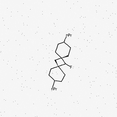 CCCC1CC[C@]2(CC1)C[C@@]1(CCC(CCC)CC1)C2F